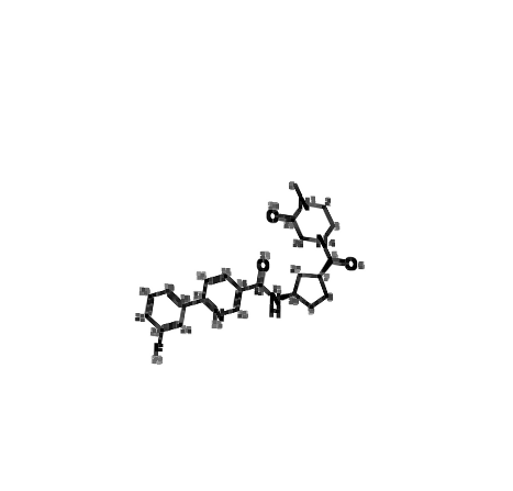 CN1CCN(C(=O)[C@H]2CC[C@@H](NC(=O)c3ccc(-c4cccc(F)c4)nc3)C2)CC1=O